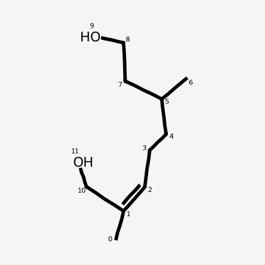 CC(=CCCC(C)CCO)CO